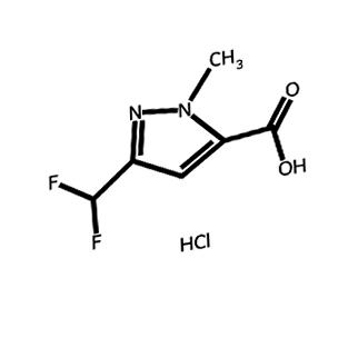 Cl.Cn1nc(C(F)F)cc1C(=O)O